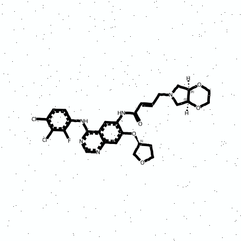 O=C(C=CCN1C[C@@H]2OCCO[C@@H]2C1)Nc1cc2c(Nc3ccc(Cl)c(Cl)c3F)ncnc2cc1O[C@H]1CCOC1